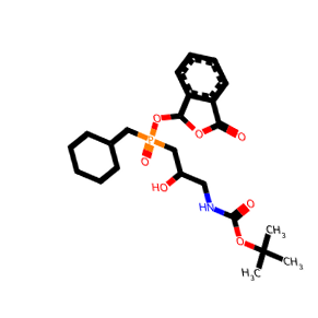 CC(C)(C)OC(=O)NCC(O)CP(=O)(CC1CCCCC1)OC1OC(=O)c2ccccc21